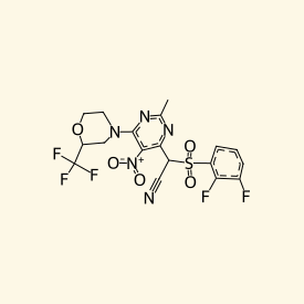 Cc1nc(C(C#N)S(=O)(=O)c2cccc(F)c2F)c([N+](=O)[O-])c(N2CCOC(C(F)(F)F)C2)n1